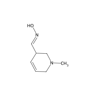 CN1CC=CC(C=NO)C1